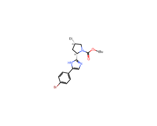 CC[C@H]1C[C@@H](c2ncc(-c3ccc(Br)cc3)[nH]2)N(C(=O)OC(C)(C)C)C1